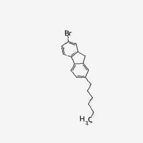 CCCCCCc1ccc2c(c1)Cc1cc(Br)ccc1-2